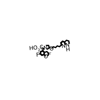 C[C@@H]1COc2cc(F)cc([C@@H](C(=O)O)N3CC[C@@H](OCCCCc4ccc5c(n4)NCCC5)C3)c2C1